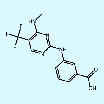 CNc1nc(Nc2cccc(C(=O)O)c2)ncc1C(F)(F)F